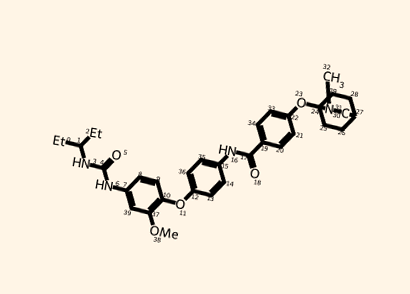 CCC(CC)NC(=O)Nc1ccc(Oc2ccc(NC(=O)c3ccc(OC45CCC(CC4)CN5C)cc3)cc2)c(OC)c1